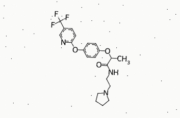 CC(Oc1ccc(Oc2ccc(C(F)(F)F)cn2)cc1)C(=O)NCCN1CCCC1